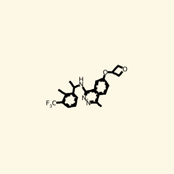 Cc1c(C(C)Nc2nnc(C)c3ccc(OC4COC4)cc23)cccc1C(F)(F)F